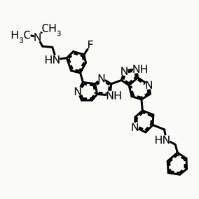 CN(C)CCNc1cc(F)cc(-c2nccc3[nH]c(-c4n[nH]c5ncc(-c6cncc(CNCc7ccccc7)c6)cc45)nc23)c1